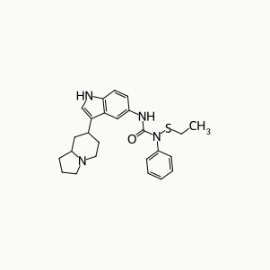 CCSN(C(=O)Nc1ccc2[nH]cc(C3CCN4CCCC4C3)c2c1)c1ccccc1